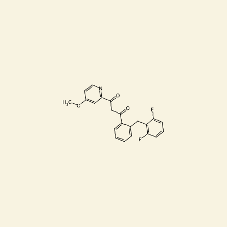 COc1ccnc(C(=O)CC(=O)c2ccccc2Cc2c(F)cccc2F)c1